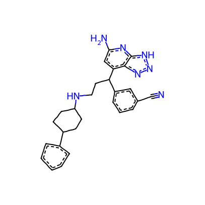 N#Cc1cccc(C(CCNC2CCC(c3ccccc3)CC2)c2cc(N)nc3[nH]nnc23)c1